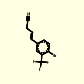 N#CC/C=C/c1ccc(Br)c(C(F)(F)F)c1